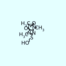 Cn1c(=O)c2c(nc(SCCO)n2C)n(C)c1=O